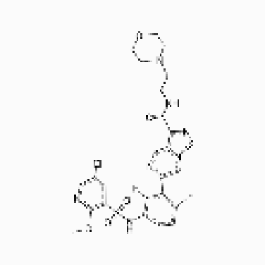 COc1ncc(Cl)cc1S(=O)(=O)Nc1ccc(F)c(-c2cn3cnc(C(=O)NCCN4CCOCC4)c3cn2)c1F